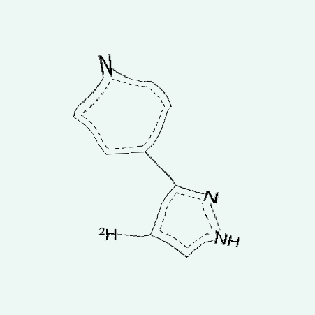 [2H]c1c[nH]nc1-c1ccncc1